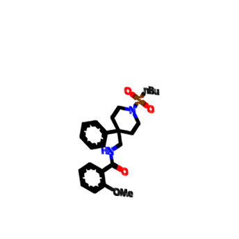 CCCCS(=O)(=O)N1CCC(CNC(=O)c2ccccc2OC)(c2ccccc2)CC1